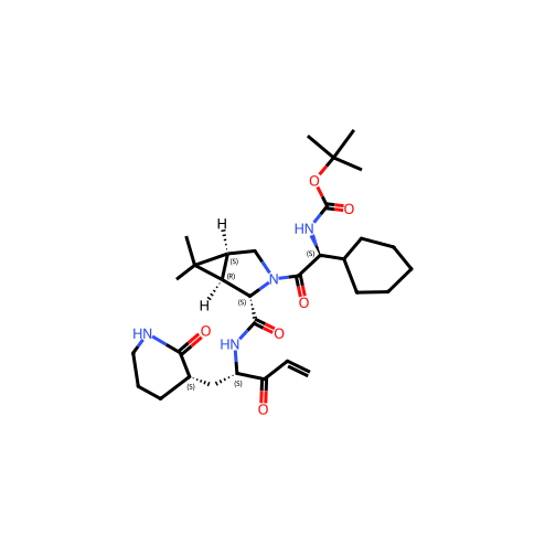 C=CC(=O)[C@H](C[C@@H]1CCCNC1=O)NC(=O)[C@@H]1[C@@H]2[C@H](CN1C(=O)[C@@H](NC(=O)OC(C)(C)C)C1CCCCC1)C2(C)C